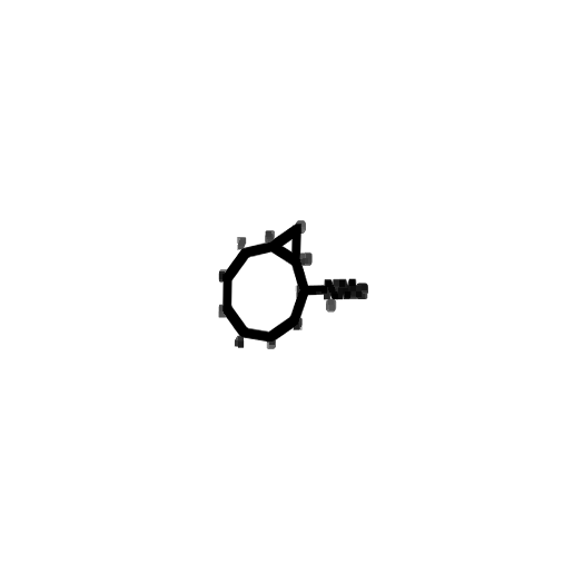 CNC1CCCCCCC2CC21